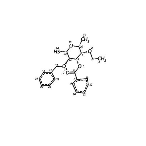 CCO[C@@H]1[C@H](OC(=O)c2ccccc2)[C@@H](OCc2ccccc2)[C@H](S)O[C@@H]1C